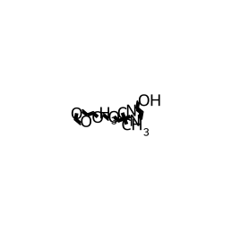 CC(C)(COCCOCC1COCCO1)c1nccc(CO)n1